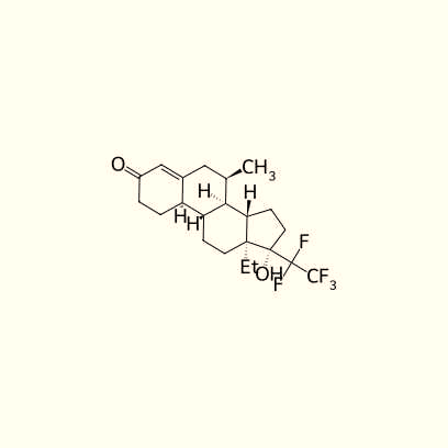 CC[C@]12CC[C@H]3[C@@H]([C@H](C)CC4=CC(=O)CC[C@@H]43)[C@@H]1CC[C@@]2(O)C(F)(F)C(F)(F)F